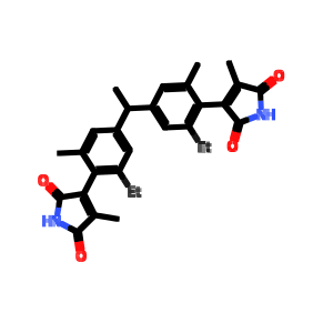 CCc1cc(C(C)c2cc(C)c(C3=C(C)C(=O)NC3=O)c(CC)c2)cc(C)c1C1=C(C)C(=O)NC1=O